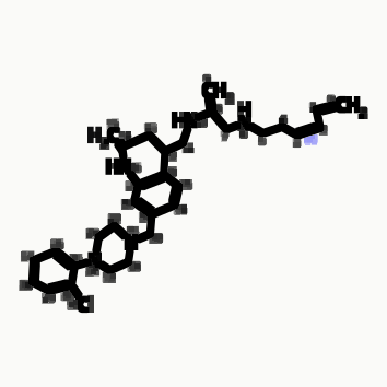 C=C/C=C\CCNCC(=C)NCC1CC(=C)Nc2cc(CN3CCN(c4ccccc4Cl)CC3)ccc21